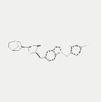 CC1C2CCN1CC(C1=NC(=O)C(=Cc3ccc4c(cnn4Cc4ccc(C(F)(F)F)cc4C(F)(F)F)c3)S1)C2